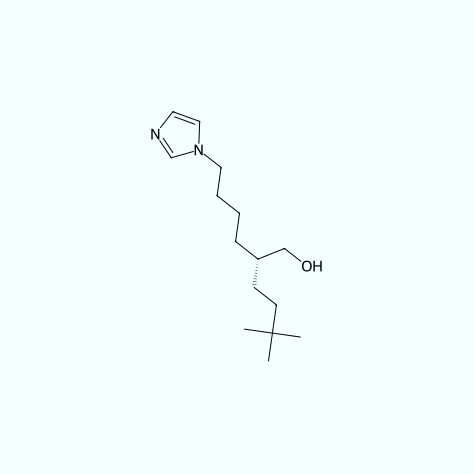 CC(C)(C)CC[C@@H](CO)CCCCn1ccnc1